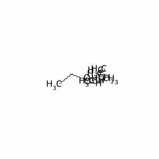 CCCCCCCC/C=C\CCCCCCCC(=O)O[C@H]1CC[C@@]2(C)C(=CC[C@H]3[C@@H]4CC[C@H]([C@H](C)CC[C@@H](CC)C(C)C)[C@@]4(C)CC[C@@H]32)C1